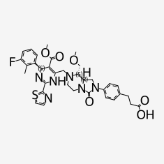 COC[C@@H]1[C@H]2CN(c3ccc(CCC(=O)O)cc3)C(=O)N2CCN1CC1=C(C(=O)OC)[C@H](c2cccc(F)c2C)N=C(c2nccs2)N1